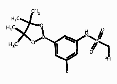 [3H]CS(=O)(=O)Nc1cc(F)cc(B2OC(C)(C)C(C)(C)O2)c1